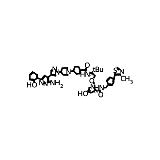 Cc1ncsc1-c1ccc(CNC(=O)[C@@H]2C[C@@H](O)CN2COC[C@@H](NC(=O)C2CCC(N3CCC(n4cc(-c5cc(-c6ccccc6O)nnc5N)cn4)CC3)CC2)C(C)(C)C)cc1